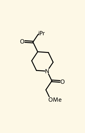 COCC(=O)N1CCC(C(=O)C(C)C)CC1